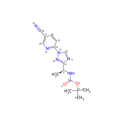 C[C@H](NC(=O)OC(C)(C)C)c1ncn(-c2ccc(C#N)cn2)n1